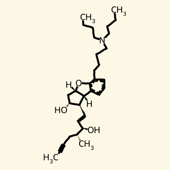 CC#CC[C@@H](C)[C@H](O)/C=C/[C@@H]1[C@H]2c3cccc(CCCCN(CCCC)CCCC)c3O[C@H]2C[C@H]1O